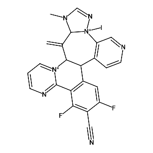 C=C1C2C(c3ccncc3[N+]3(I)N=CN(C)C13)c1cc(F)c(C#N)c(F)c1-c1nccc[n+]12